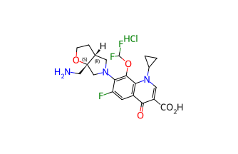 Cl.NC[C@]12CN(c3c(F)cc4c(=O)c(C(=O)O)cn(C5CC5)c4c3OC(F)F)C[C@H]1CCO2